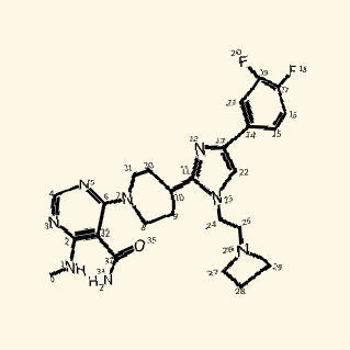 CNc1ncnc(N2CCC(c3nc(-c4ccc(F)c(F)c4)cn3CCN3CCC3)CC2)c1C(N)=O